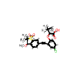 COC1c2ccc(C#Cc3cc(Cl)ccc3OC(C(=O)O)C(C)(C)C)cc2S(=O)(=O)C1(C)C